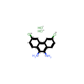 Cl.Cl.Nc1c(N)c2ccc(Cl)cc2c2cc(Cl)ccc12